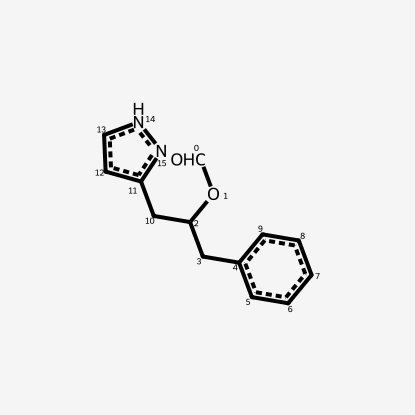 O=COC(Cc1ccccc1)Cc1cc[nH]n1